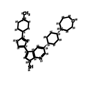 CN1CCC(c2nc(-c3cn(S)c4ncc([C@H]5CC[C@@H](N6CCCOCC6)CC5)cc34)cs2)CC1